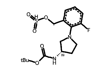 CC(C)(C)OC(=O)N[C@H]1CCN(c2c(F)cccc2[CH]O[SH](=O)=O)C1